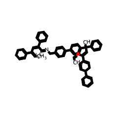 C/C=N\C(=C/C(C)(c1ccccc1)c1ccc(-c2ccc(C/N=C(C)/C(=C\C(=C/C)C3=CCCC=C3)c3ccccc3)cc2)cc1)C1=CCC(c2ccccc2)C=C1